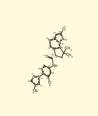 CC1(C)C[C@H](C(=O)Nc2cnc(-n3cc(C#N)cn3)c(Cl)c2)c2cnc3cc(Cl)nn3c21